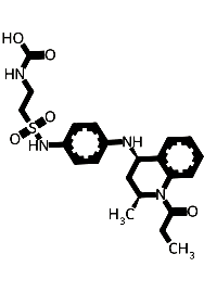 CCC(=O)N1c2ccccc2[C@H](Nc2ccc(NS(=O)(=O)CCNC(=O)O)cc2)C[C@@H]1C